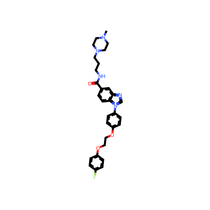 CN1CCN(CCCNC(=O)c2ccc3c(c2)ncn3-c2ccc(OCCOc3ccc(F)cc3)cc2)CC1